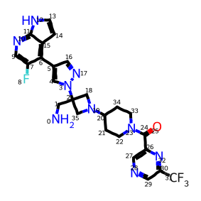 NCC1(n2cc(-c3c(F)cnc4[nH]ccc34)cn2)CN(C2CCN(C(=O)c3cncc(C(F)(F)F)n3)CC2)C1